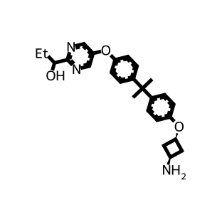 CCC(O)c1ncc(Oc2ccc(C(C)(C)c3ccc(O[C@H]4C[C@H](N)C4)cc3)cc2)cn1